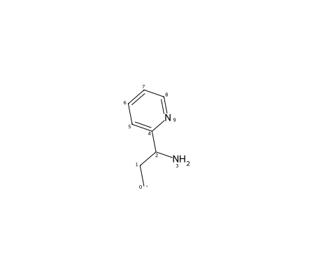 [CH2]CC(N)c1ccccn1